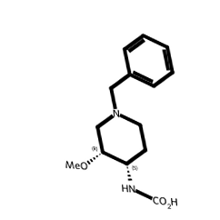 CO[C@@H]1CN(Cc2ccccc2)CC[C@@H]1NC(=O)O